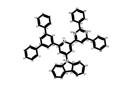 c1ccc(-c2cc(-c3ccccc3)cc(-c3cc(-n4c5ccccc5c5ccccc54)cc(-c4cc(-c5ccccc5)nc(-c5ccccc5)n4)n3)c2)cc1